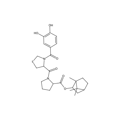 CC1(C)C2CCC1(C)C(OC(=O)C1CCCN1C(=O)C1CSCN1C(=O)c1ccc(O)c(O)c1)C2